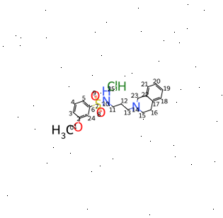 COc1cccc(S(=O)(=O)NCCCN2CCc3ccccc3C2)c1.Cl